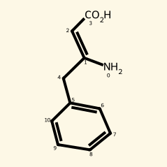 NC(=CC(=O)O)Cc1ccccc1